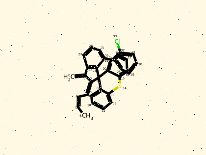 C=C1/C(=C\C=C/C)C2(c3ccccc3Sc3ccccc32)c2c1cccc2-c1ccccc1Cl